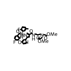 COC(=O)CN(CCCNC(=O)c1c[nH]c(-c2cc(Oc3cc(C(=O)Nc4cc(C)ccc4F)ccc3F)ccn2)c1)CC(=O)OC